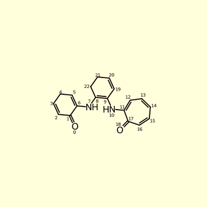 O=C1C=CCC=C1NC1=C(Nc2cccccc2=O)C=CCC1